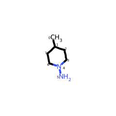 CC1CCN(N)CC1